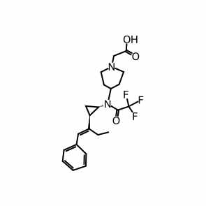 CC/C(=C\c1ccccc1)[C@H]1C[C@@H]1N(C(=O)C(F)(F)F)C1CCN(CC(=O)O)CC1